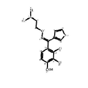 CCN(CC)CCON=C(c1ccsc1)c1ccc(OC)c(Cl)c1Cl